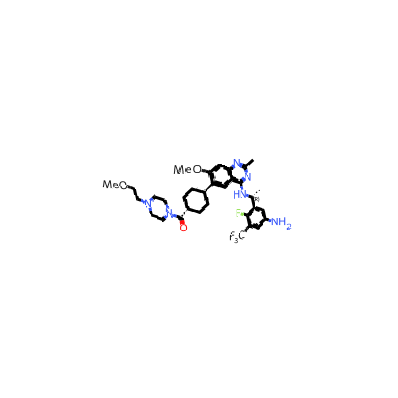 COCCN1CCN(C(=O)[C@H]2CC[C@H](c3cc4c(N[C@H](C)c5cc(N)cc(C(F)(F)F)c5F)nc(C)nc4cc3OC)CC2)CC1